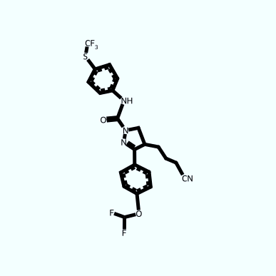 N#CCCCC1CN(C(=O)Nc2ccc(SC(F)(F)F)cc2)N=C1c1ccc(OC(F)F)cc1